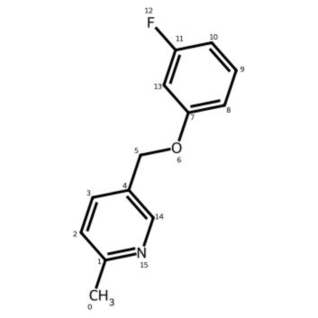 Cc1ccc(COc2cccc(F)c2)cn1